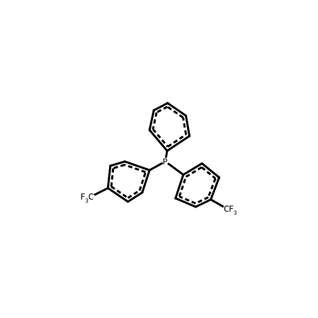 FC(F)(F)c1ccc(P(c2ccccc2)c2ccc(C(F)(F)F)cc2)cc1